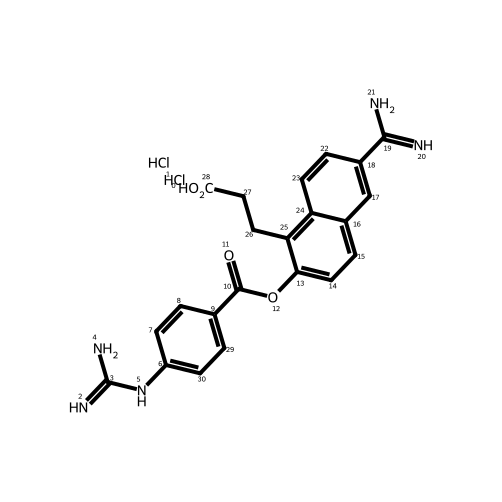 Cl.Cl.N=C(N)Nc1ccc(C(=O)Oc2ccc3cc(C(=N)N)ccc3c2CCC(=O)O)cc1